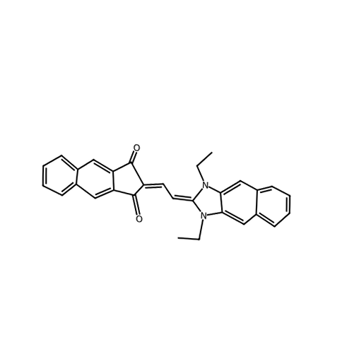 CCN1C(=CC=C2C(=O)c3cc4ccccc4cc3C2=O)N(CC)c2cc3ccccc3cc21